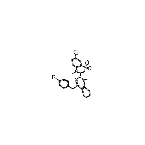 Cc1c(C2=CS(=O)(=O)c3cc(Cl)ccc3N2C)nc(Cc2ccc(F)cc2)c2ccccc12